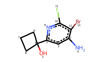 Nc1cc(C2(O)CCC2)nc(F)c1Br